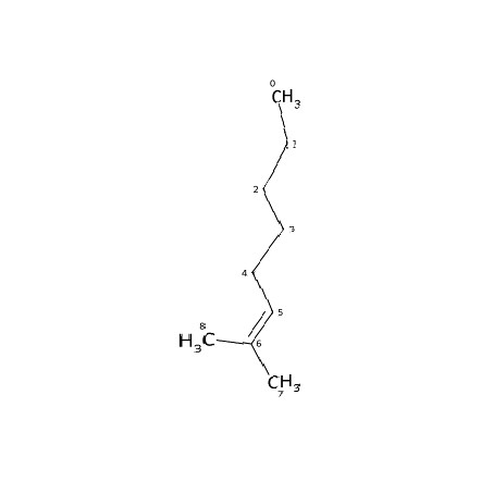 C[CH]CCCC=C(C)C